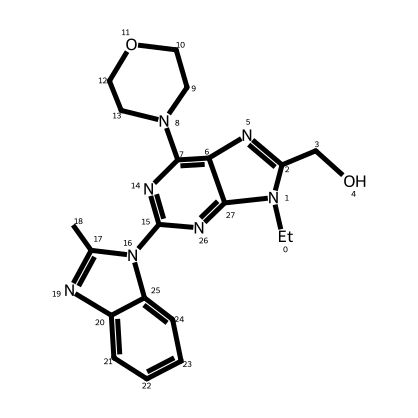 CCn1c(CO)nc2c(N3CCOCC3)nc(-n3c(C)nc4ccccc43)nc21